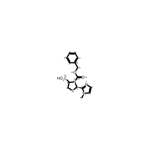 Cn1ccnc1[C@H]1SCC(C(=O)O)N1C(=O)OCc1ccccc1